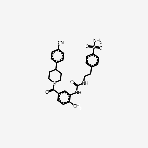 Cc1ccc(C(=O)N2CCC(c3ccc(C#N)cc3)CC2)cc1NC(=O)NCCc1ccc(S(N)(=O)=O)cc1